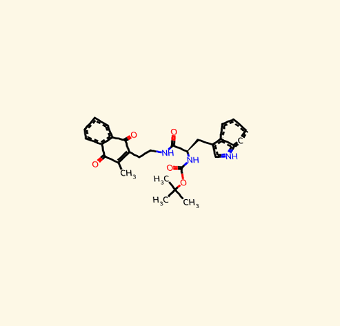 CC1=C(CCNC(=O)[C@@H](Cc2c[nH]c3ccccc23)NC(=O)OC(C)(C)C)C(=O)c2ccccc2C1=O